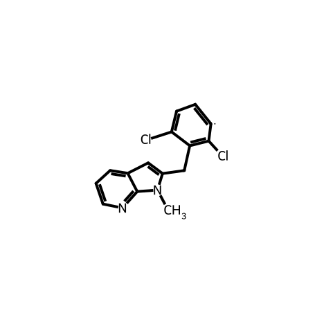 Cn1c(Cc2c(Cl)[c]ccc2Cl)cc2cccnc21